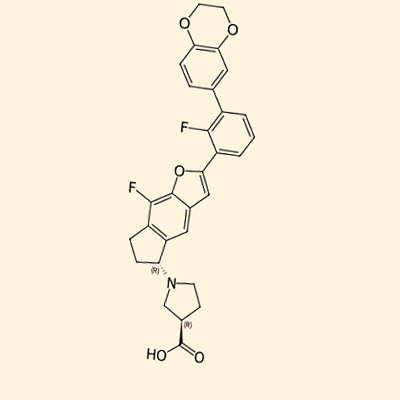 O=C(O)[C@@H]1CCN([C@@H]2CCc3c2cc2cc(-c4cccc(-c5ccc6c(c5)OCCO6)c4F)oc2c3F)C1